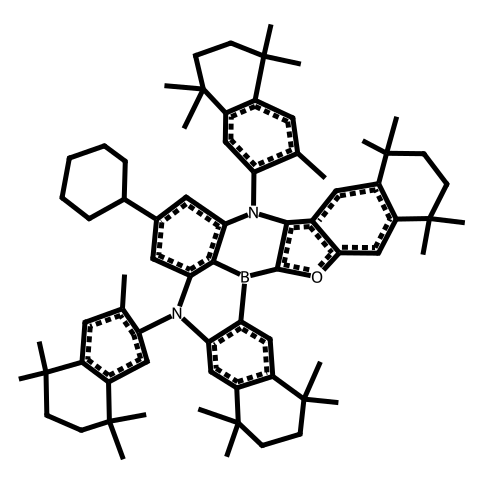 Cc1cc2c(cc1N1c3cc4c(cc3B3c5oc6cc7c(cc6c5N(c5cc6c(cc5C)C(C)(C)CCC6(C)C)c5cc(C6CCCCC6)cc1c53)C(C)(C)CCC7(C)C)C(C)(C)CCC4(C)C)C(C)(C)CCC2(C)C